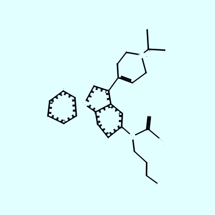 CCCCN(C(N)=O)c1ccc2[nH]cc(C3=CCN(C(C)C)CC3)c2c1.c1ccccc1